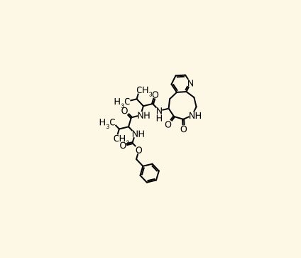 CC(C)C(NC(=O)OCc1ccccc1)C(=O)NC(C(=O)NC1Cc2cccnc2CCNC(=O)C1=O)C(C)C